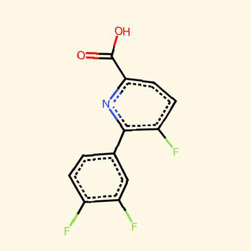 O=C(O)c1ccc(F)c(-c2ccc(F)c(F)c2)n1